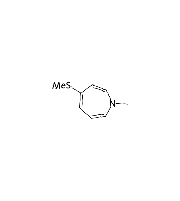 CSC1=CC=CN(C)C=C1